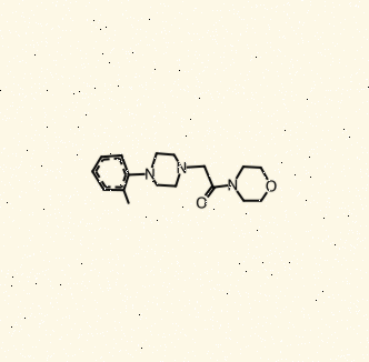 Cc1ccccc1N1CCN(CC(=O)N2CCOCC2)CC1